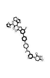 CN(Cc1cncc(N2CCC(=O)NC2=O)c1)C1CCN(c2ccc(-c3cc(F)c4c(c3)C(=O)N(C(C(=O)Nc3nccs3)c3ncn5c3CCC5)C4)cc2)CC1